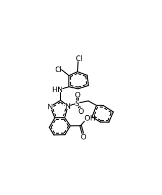 O=C(O)c1cccc2nc(Nc3cccc(Cl)c3Cl)n(S(=O)(=O)Cc3ccccc3)c12